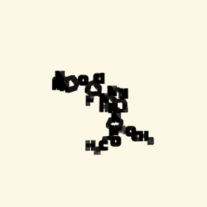 C=CC(=O)N1CCN(c2ccc3ncnc(Nc4cc(Cl)c(Oc5ccn6ncnc6c5)cc4F)c3n2)C[C@@H]1COC